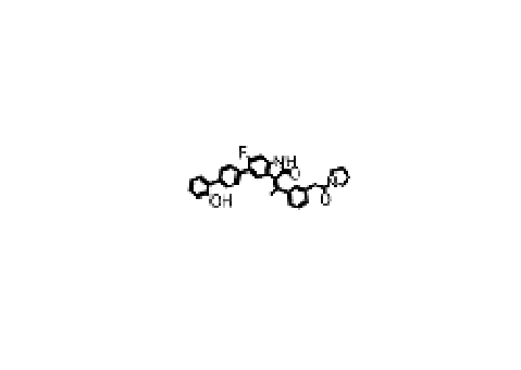 C/C(=C1/C(=O)Nc2cc(F)c(-c3ccc(-c4ccccc4O)cc3)cc21)c1cccc(CC(=O)N2CCCC2)c1